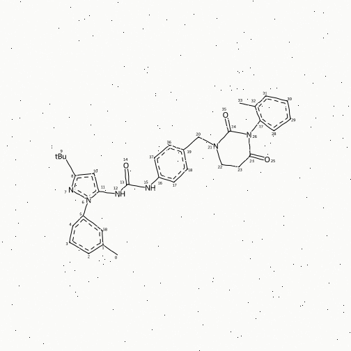 Cc1cccc(-n2nc(C(C)(C)C)cc2NC(=O)Nc2ccc(CN3CCC(=O)N(c4ccccc4C)C3=O)cc2)c1